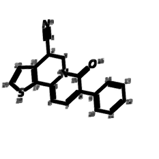 N#CC1Cn2c(ccc(-c3ccccc3)c2=O)-c2sccc21